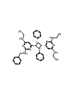 CC(C)CNc1cc([C@H]2[C@H](c3ccccc3)[C@H](c3cc(NCC(C)C)nc(NCC(C)C)n3)[C@H]2c2ccccc2)nc(NCc2ccccc2)n1